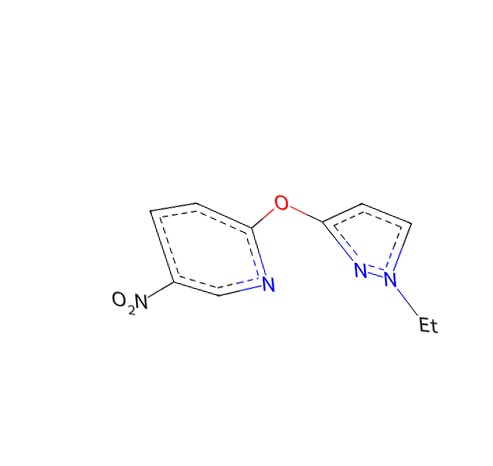 CCn1ccc(Oc2ccc([N+](=O)[O-])cn2)n1